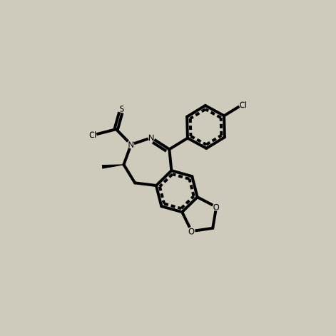 C[C@@H]1Cc2cc3c(cc2C(c2ccc(Cl)cc2)=NN1C(=S)Cl)OCO3